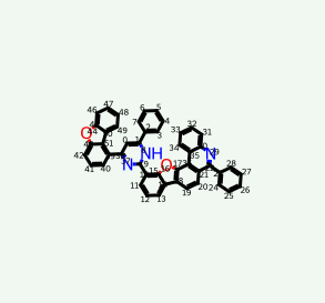 C1=C(c2ccccc2)NC(c2cccc3c2oc2c3ccc3c(-c4ccccc4)nc4ccccc4c32)N=C1c1cccc2oc3ccccc3c12